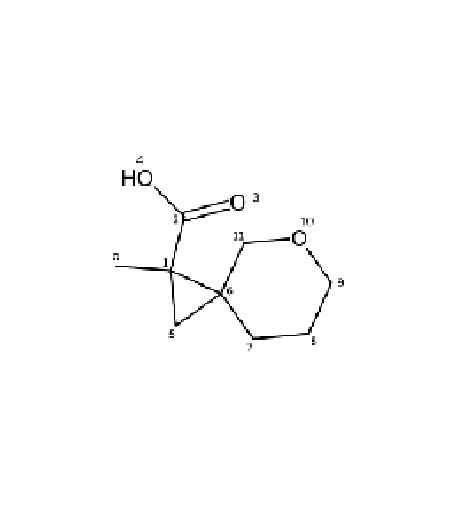 CC1(C(=O)O)CC12CCCOC2